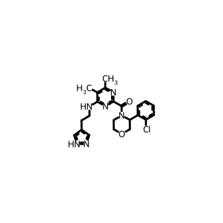 Cc1nc(C(=O)N2CCOCC2c2ccccc2Cl)nc(NCCc2cn[nH]c2)c1C